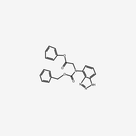 O=C(CN(C(=O)OCc1ccccc1)c1cccc2[nH]nnc12)Oc1ccccc1